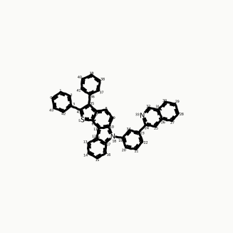 c1ccc(-c2sc3c(ccc4c3c3ccccc3n4-c3cccc(-c4cc5ccccc5cn4)c3)c2-c2ccccc2)cc1